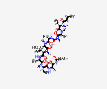 CC[C@H](NC(=O)N(C)C(=O)[C@H](C(C)C)N(C)C(=O)[C@H](CC(C)C)N(C)C(=O)CCC(C)C)C(=O)N(C)C(C(=O)O)C(=O)N(C)[C@@H](CC(C)C)C(=O)N[C@H](C(=O)N(C)[C@@H](CC(C)C)C(=O)N[C@H](C)C(=O)NC(=O)NC)C(C)C